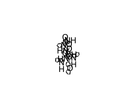 O=C1CN(/N=C/C(Cc2ccccc2)NC(=O)C(Cc2c[nH]c3ccccc23)NC(=O)C(Cc2c[nH]c3ccccc23)NC(=O)Cc2cccc(Oc3ccccc3)c2)C(=O)N1